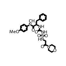 COc1ccc(N(C)C(=O)C(Cc2ccccc2)NC(=O)NS(=O)(=O)NCC(=O)N2CCOCC2)cc1